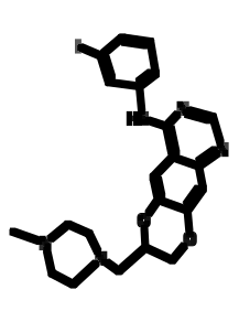 CN1CCN(CC2COc3cc4ncnc(Nc5cccc(I)c5)c4cc3O2)CC1